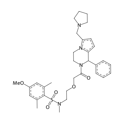 COc1cc(C)c(S(=O)(=O)N(C)CCOCC(=O)N2CCn3c(CN4CCCC4)ccc3C2c2ccccc2)c(C)c1